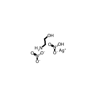 NCCO.O=[N+]([O-])O.O=[N+]([O-])[O-].[Ag+]